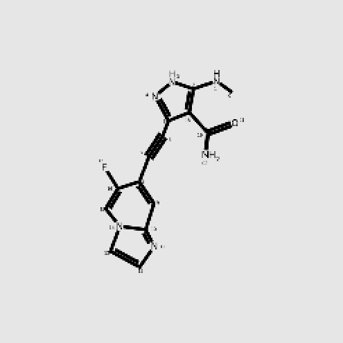 CNc1[nH]nc(C#Cc2cc3nccn3cc2F)c1C(N)=O